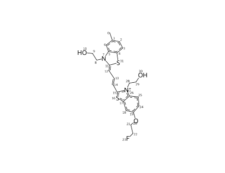 Cc1ccc2c(c1)N(CCO)/C(=C/C=C/c1sc3cc(OCCF)ccc3[n+]1CCO)S2